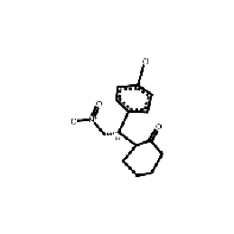 O=C1CCCCC1[C@H](C[N+](=O)[O-])c1ccc(Cl)cc1